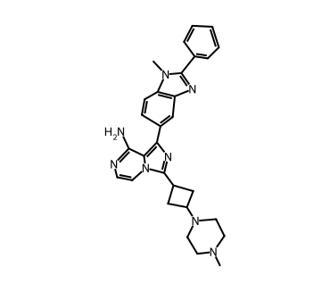 CN1CCN(C2CC(c3nc(-c4ccc5c(c4)nc(-c4ccccc4)n5C)c4c(N)nccn34)C2)CC1